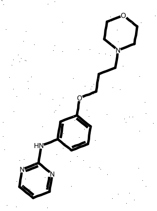 c1cnc(Nc2cccc(OCCCN3CCOCC3)c2)nc1